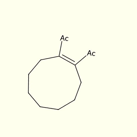 CC(=O)/C1=C(\C(C)=O)CCCCCCC1